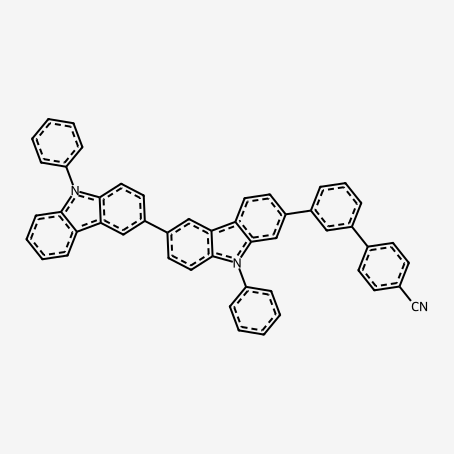 N#Cc1ccc(-c2cccc(-c3ccc4c5cc(-c6ccc7c(c6)c6ccccc6n7-c6ccccc6)ccc5n(-c5ccccc5)c4c3)c2)cc1